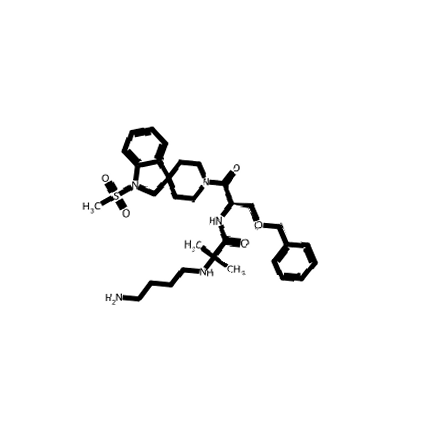 CC(C)(NCCCCN)C(=O)N[C@H](COCc1ccccc1)C(=O)N1CCC2(CC1)CN(S(C)(=O)=O)c1ccccc12